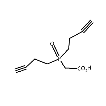 C#CCCP(=O)(CCC#C)CC(=O)O